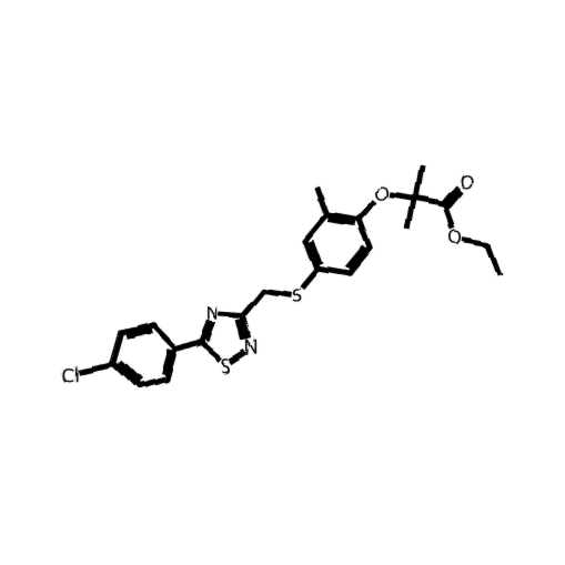 CCOC(=O)C(C)(C)Oc1ccc(SCc2nsc(-c3ccc(Cl)cc3)n2)cc1C